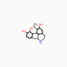 CCc1c(O)cc2c3c1-c1c(ccc(O)c1O)CC3NCC2